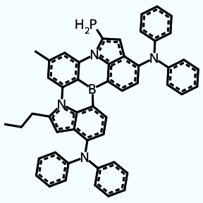 CCCc1cc2c(N(c3ccccc3)c3ccccc3)ccc3c2n1-c1cc(C)cc2c1B3c1ccc(N(c3ccccc3)c3ccccc3)c3cc(P)n-2c13